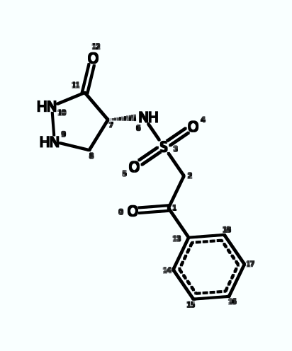 O=C(CS(=O)(=O)N[C@@H]1CNNC1=O)c1ccccc1